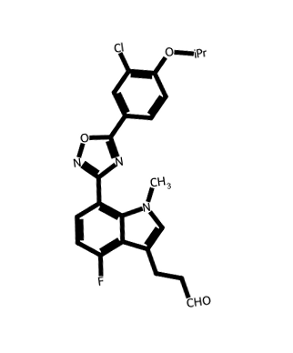 CC(C)Oc1ccc(-c2nc(-c3ccc(F)c4c(CCC=O)cn(C)c34)no2)cc1Cl